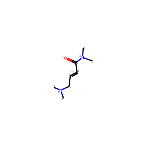 CN(C)C/C=C/C(=O)N(C)C